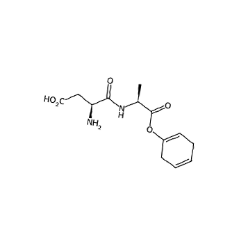 C[C@H](NC(=O)[C@@H](N)CC(=O)O)C(=O)OC1=CCC=CC1